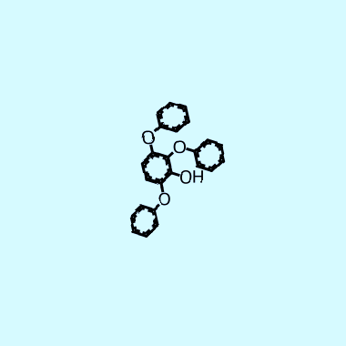 Oc1c(Oc2ccccc2)ccc(Oc2ccccc2)c1Oc1ccccc1